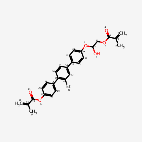 C=C(C)C(=O)OCC(O)Oc1ccc(-c2ccc(-c3ccc(OC(=O)C(=C)C)cc3)c(CC)c2)cc1